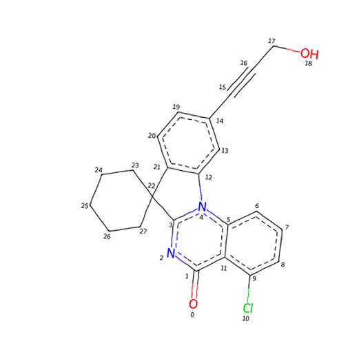 O=c1nc2n(c3cccc(Cl)c13)-c1cc(C#CCO)ccc1C21CCCCC1